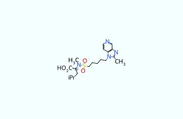 Cc1nc2cnccc2n1CCCCCS(=O)(=O)N(C)[C@@H](CC(C)C)C(=O)O